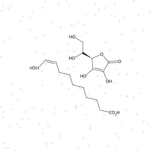 CCCCCCCC/C=C\CCCCCCCC(=O)O.O=C1O[C@H](C(O)CO)C(O)=C1O